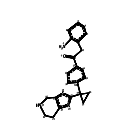 Nc1ccccc1CC(=O)c1ccc(C2(c3nc4c(s3)CNCC4)CC2)cc1